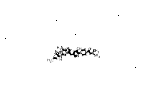 CCC[C@H](Nc1nc(N)c2ncc(Cc3cnc(N4CCN(C(=O)CN(C)C)CC4)c(C)c3)n2n1)C(F)(F)F